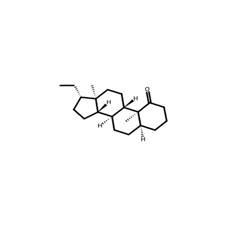 CC[C@H]1CC[C@H]2[C@@H]3CC[C@@H]4CCCC(=O)[C@]4(C)[C@H]3CC[C@]12C